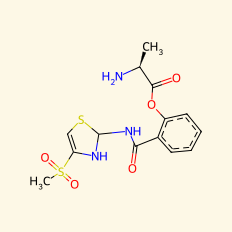 C[C@H](N)C(=O)Oc1ccccc1C(=O)NC1NC(S(C)(=O)=O)=CS1